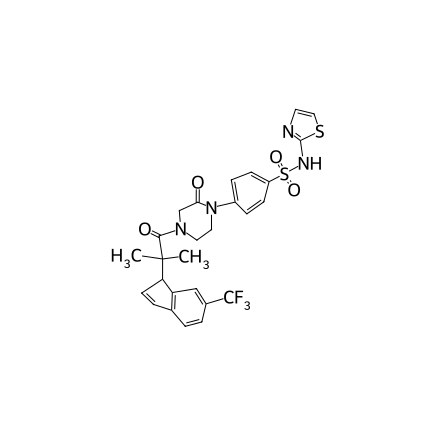 CC(C)(C(=O)N1CCN(c2ccc(S(=O)(=O)Nc3nccs3)cc2)C(=O)C1)C1C=Cc2ccc(C(F)(F)F)cc21